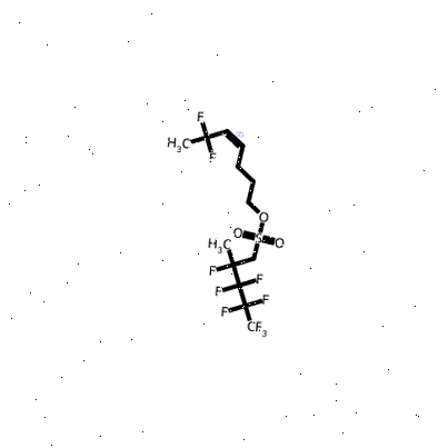 CC(F)(F)/C=C\CCCOS(=O)(=O)CC(C)(F)C(F)(F)C(F)(F)C(F)(F)F